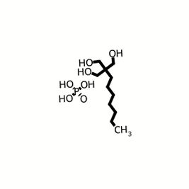 CCCCCCCC(CO)(CO)CO.O=P(O)(O)O